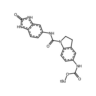 CC(C)(C)OC(=O)Nc1ccc2c(c1)CCN2C(=O)Nc1ccc2[nH]c(=O)[nH]c2c1